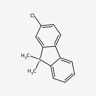 CS1(C)c2ccccc2-c2ccc(Cl)cc21